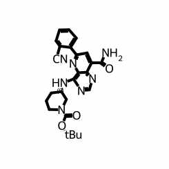 CC(C)(C)OC(=O)N1CCC[C@H](Nc2ncnc3c(C(N)=O)cc(-c4ccccc4C#N)nc23)C1